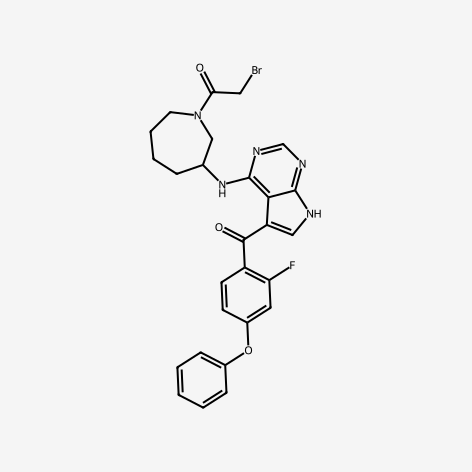 O=C(c1ccc(Oc2ccccc2)cc1F)c1c[nH]c2ncnc(NC3CCCCN(C(=O)CBr)C3)c12